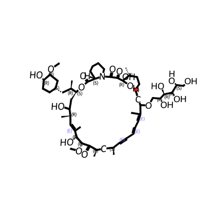 CO[C@@H]1C[C@H](C[C@@H](C)[C@@H]2CC(O)[C@H](C)/C=C(\C)[C@@H](O)[C@@H](OC)C(=O)[C@H](C)C[C@H](C)/C=C/C=C/C=C(\C)C(OC[C@@H](O)[C@@H](O)[C@H](O)[C@@H](O)CO)C[C@@H]3CC[C@@H](C)[C@@](O)(O3)C(=O)C(=O)N3CCCC[C@H]3C(=O)O2)CC[C@H]1O